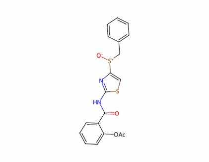 CC(=O)Oc1ccccc1C(=O)Nc1nc([S+]([O-])Cc2ccccc2)cs1